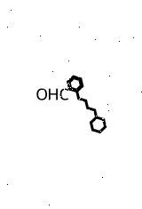 O=Cc1ccccc1CCCCC1CCCCC1